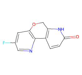 O=c1ccc2c([nH]1)COc1cc(F)cnc1-2